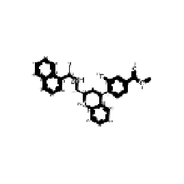 COC(=O)c1ccc([C@@H]2C[C@H](CN[C@H](C)c3cccc4ccccc34)Oc3ccccc32)c(F)c1